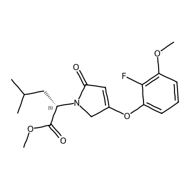 COC(=O)[C@H](CC(C)C)N1CC(Oc2cccc(OC)c2F)=CC1=O